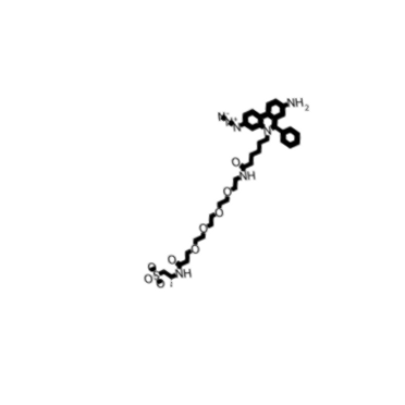 C[C@H](CS(=O)(=O)[O-])NC(=O)CCOCCOCCOCCOCCNC(=O)CCCCC[n+]1c(-c2ccccc2)c2cc(N)ccc2c2ccc(N=[N+]=[N-])cc21